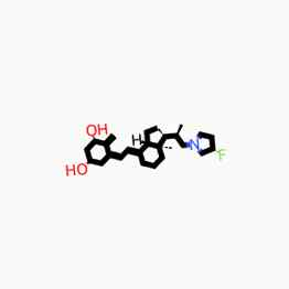 C=C1/C(=C\C=C2/CCC[C@]3(C)[C@@H]([C@@H](C)CN4CC[C@H](F)C4)CC[C@@H]23)C[C@@H](O)C[C@@H]1O